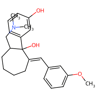 COc1cccc(C=C2CCCCC(CN(C)C)C2(O)c2cccc(O)c2)c1